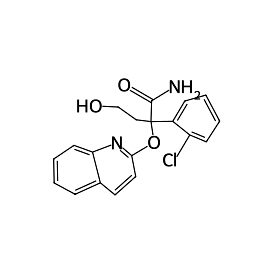 NC(=O)C(CCO)(Oc1ccc2ccccc2n1)c1ccccc1Cl